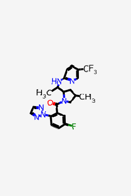 CC1CC(C(C)Nc2ccc(C(F)(F)F)cn2)N(C(=O)c2cc(F)ccc2-n2nccn2)C1